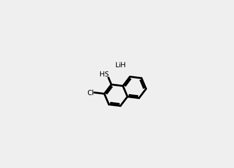 Sc1c(Cl)ccc2ccccc12.[LiH]